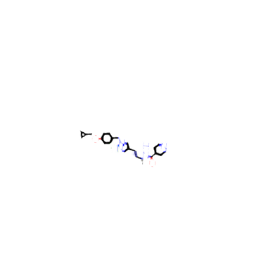 C[C@@H](/C=C/c1cnn(Cc2ccc(OCC3CC3)cc2Cl)c1)NC(=O)c1ccncc1